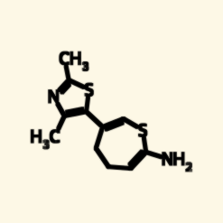 Cc1nc(C)c(C2=CSC(N)=CCC2)s1